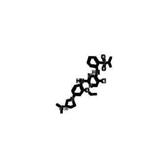 CCOc1cc(N2CC[C@H](N(C)C)C2)ccc1Nc1ncc(Cl)c(Nc2ccccc2S(=O)(=O)C(C)C)n1